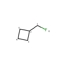 FCC1CCC1